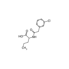 CCCC(NC(=O)Cc1cccc(Cl)c1)C(=O)O